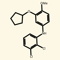 COc1ccc(Nc2cccc(Cl)c2Cl)cc1OC1CCCC1